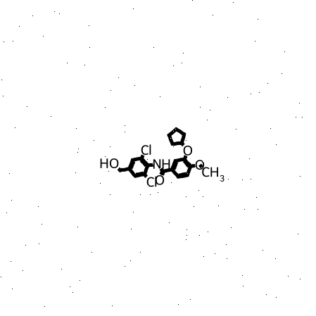 COc1ccc(C(=O)Nc2c(Cl)cc(CO)cc2Cl)cc1OC1CCCC1